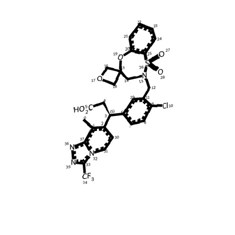 Cc1c([C@@H](CC(=O)O)c2ccc(Cl)c(CN3CC4(COC4)Oc4ccccc4S3(=O)=O)c2)ccn2c(C(F)(F)F)nnc12